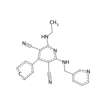 CCNc1nc(NCc2cccnc2)c(C#N)c(-c2ccccc2)c1C#N